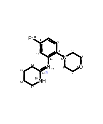 CCc1ccc(N2CCOCC2)c(/N=C2\CCCCN2)c1